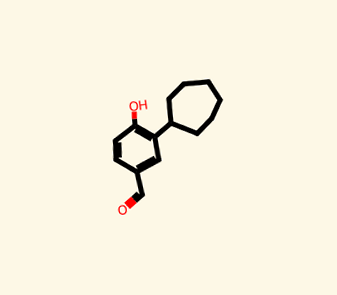 O=Cc1ccc(O)c(C2CCCCCC2)c1